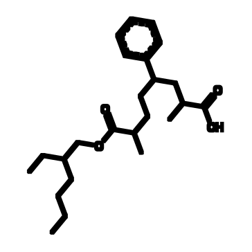 CCCCC(CC)COC(=O)C(C)CCC(CC(C)C(=O)O)c1ccccc1